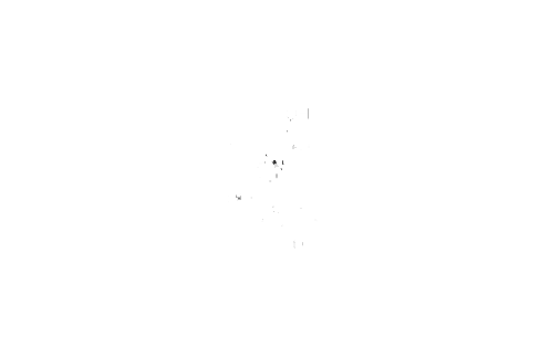 CCc1nn(C[C@@H](C)CO)c2c1C(=O)CC1(CCOCC1)C2